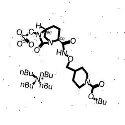 CC(C)(C)OC(=O)N1CCC(CONC(=O)[C@@H]2CC[C@@H]3CN2C(=O)N3OS(=O)(=O)[O-])CC1.CCCC[N+](CCCC)(CCCC)CCCC